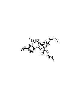 CCOC(=O)CC(CCc1ccc(C#N)cc1)(C(=O)OCC)C(=O)OCC